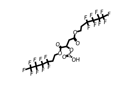 O=C(CC(OS(=O)O)C(=O)OCCC(F)(F)C(F)(F)C(F)(F)C(F)(F)F)OCCC(F)(F)C(F)(F)C(F)(F)C(F)(F)F